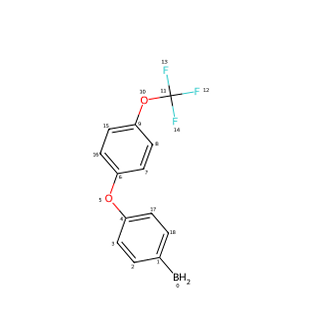 Bc1ccc(Oc2ccc(OC(F)(F)F)cc2)cc1